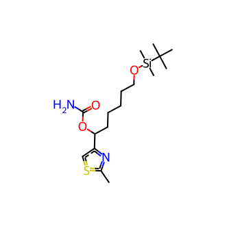 Cc1nc(C(CCCCCO[Si](C)(C)C(C)(C)C)OC(N)=O)cs1